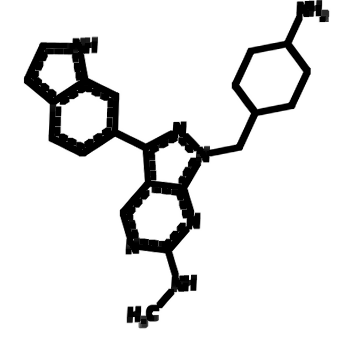 CNc1ncc2c(-c3ccc4cc[nH]c4c3)nn(CC3CCC(N)CC3)c2n1